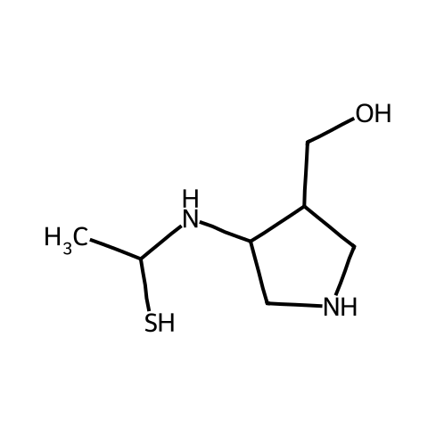 CC(S)NC1CNCC1CO